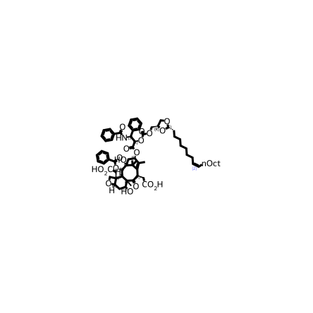 CCCCCCCC/C=C\CCCCCCC[C@H]1OC[C@H](COC(=O)O[C@@H](C(=O)O[C@H]2C[C@@]3(O)[C@@H](OC(=O)c4ccccc4)[C@@H]4[C@@]5(CC(=O)O)CO[C@@H]5C[C@H](O)[C@@]4(C)C(=O)[C@H](CC(=O)O)C(=C2C)C3(C)C)[C@@H](NC(=O)c2ccccc2)c2ccccc2)O1